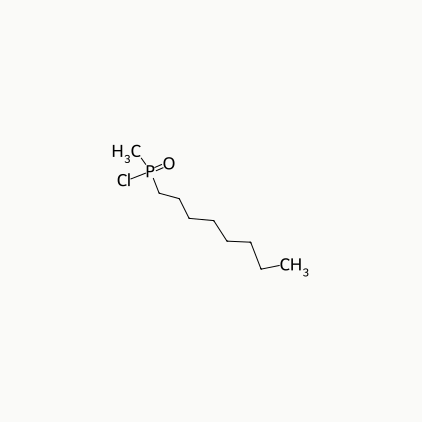 CCCCCCCCP(C)(=O)Cl